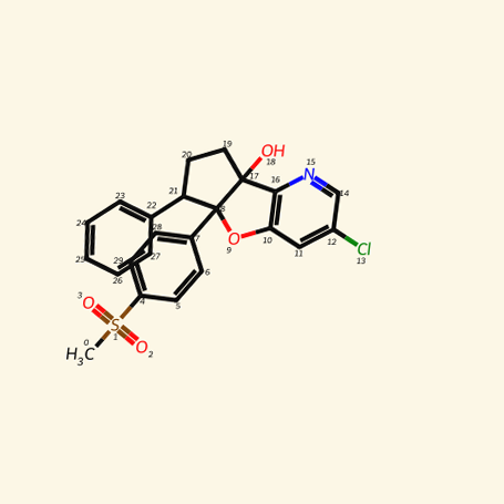 CS(=O)(=O)c1ccc(C23Oc4cc(Cl)cnc4C2(O)CCC3c2ccccc2)cc1